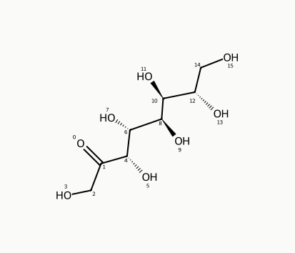 O=C(CO)[C@@H](O)[C@H](O)[C@H](O)[C@@H](O)[C@@H](O)CO